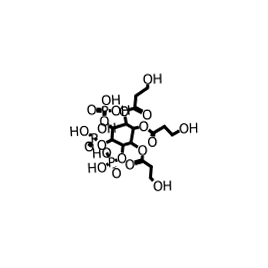 O=C(CCO)OC1C(OC(=O)CCO)C(OP(=O)(O)O)C(OP(=O)(O)O)C(OP(=O)(O)O)C1OC(=O)CCO